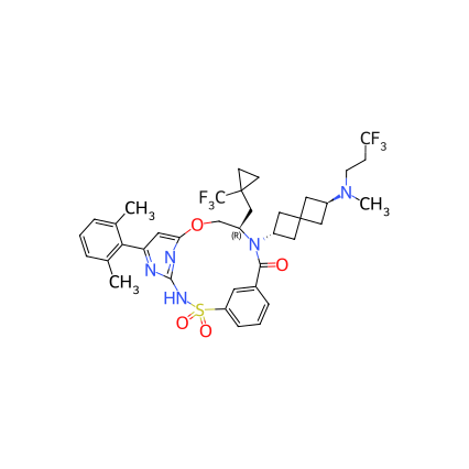 Cc1cccc(C)c1-c1cc2nc(n1)NS(=O)(=O)c1cccc(c1)C(=O)N([C@H]1CC3(C[C@H](N(C)CCC(F)(F)F)C3)C1)[C@H](CC1(C(F)(F)F)CC1)CO2